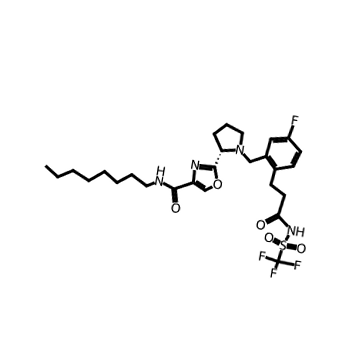 CCCCCCCCNC(=O)c1coc([C@@H]2CCCN2Cc2cc(F)ccc2CCC(=O)NS(=O)(=O)C(F)(F)F)n1